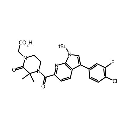 CC1(C)C(=O)N(CC(=O)O)CCN1C(=O)c1ccc2c(-c3ccc(Cl)c(F)c3)cn(C(C)(C)C)c2n1